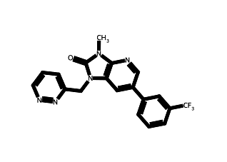 Cn1c(=O)n(Cc2cccnn2)c2cc(-c3cccc(C(F)(F)F)c3)cnc21